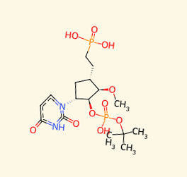 CO[C@@H]1[C@@H](CCP(=O)(O)O)C[C@@H](n2ccc(=O)[nH]c2=O)[C@@H]1OP(=O)(O)OC(C)(C)C